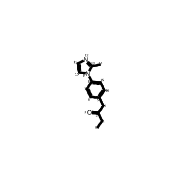 CCC(=O)Cc1ccc(-n2ccnc2C)cc1